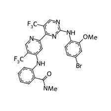 CNC(=O)c1ccccc1Nc1cc(-c2nc(Nc3ccc(Br)cc3OC)ncc2C(F)(F)F)ncc1C(F)(F)F